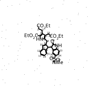 CCOC(=O)CCc1c(C(=O)OCC)[nH]c(CC2=Cc3ccccc3C2C2C(=O)Nc3ccc(S(=O)(=O)NC)cc32)c1CC(=O)OCC